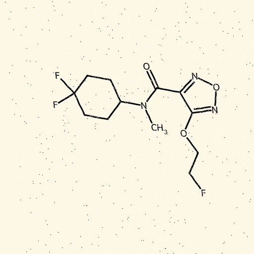 CN(C(=O)c1nonc1OCCF)C1CCC(F)(F)CC1